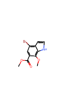 COC(=O)c1cc(Br)c2cc[nH]c2c1OC